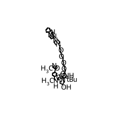 Cc1ncoc1-c1ccc([C@H](C)NC(=O)[C@@H]2C[C@@H](O)CN2C(=O)C(NC(=O)COCCOCCOCCOCCN2CCN(c3ccn4c(n3)nc3ccccc34)CC2)C(C)(C)C)cc1